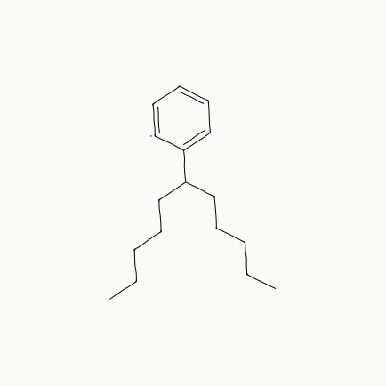 CCCCCC(CCCCC)c1[c]cccc1